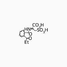 CCC(=O)c1ccccc1C(=O)N[C@@H](CS(=O)(=O)O)C(=O)O